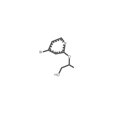 CC(CO)Oc1cc(Br)ccn1